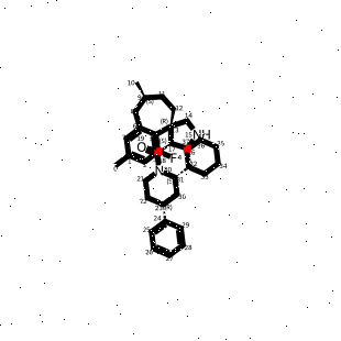 Cc1cc(F)c2c(c1)C[C@@H](C)CC[C@]21CNC[C@H]1C(=O)N1CC[C@@H](c2ccccc2)C[C@H]1C1CCCCC1